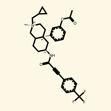 CC(=O)Oc1cccc([C@@]23CC[N@+](C)(CC4CC4)CC2CC[C@H](NC(=O)C#Cc2ccc(C(F)(F)F)cc2)C3)c1